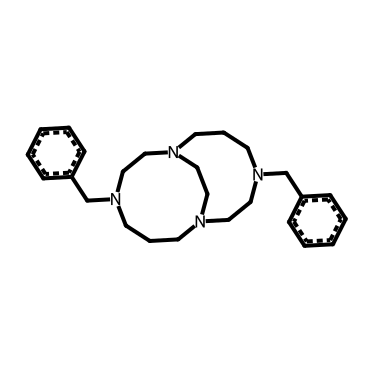 c1ccc(CN2CCCN3CCN(CCCN(Cc4ccccc4)CC3)CC2)cc1